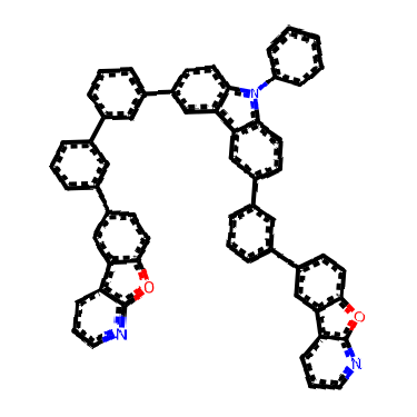 c1ccc(-n2c3ccc(-c4cccc(-c5cccc(-c6ccc7oc8ncccc8c7c6)c5)c4)cc3c3cc(-c4cccc(-c5ccc6oc7ncccc7c6c5)c4)ccc32)cc1